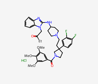 CCC(=O)Cn1c(NC2CCN(CCC3(c4ccc(F)c(F)c4)CCN(C(=O)c4cc(OC)c(OC)c(OC)c4)C3)CC2)nc2ccccc21.Cl